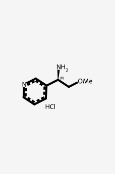 COC[C@H](N)c1cccnc1.Cl